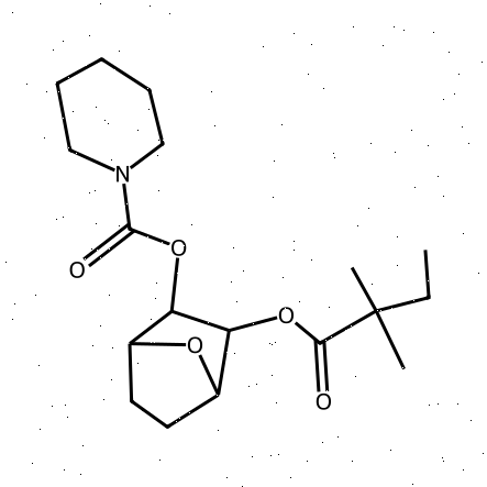 CCC(C)(C)C(=O)OC1C2CCC(O2)C1OC(=O)N1CCCCC1